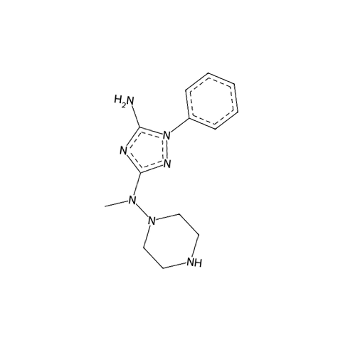 CN(c1nc(N)n(-c2ccccc2)n1)N1CCNCC1